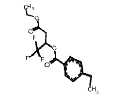 CCOC(=O)CC(OC(=O)c1ccc(CC)cc1)C(F)(F)F